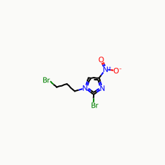 O=[N+]([O-])c1cn(CCCBr)c(Br)n1